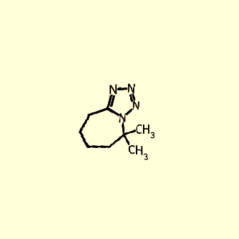 CC1(C)CCCCc2nnnn21